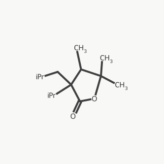 CC(C)CC1(C(C)C)C(=O)OC(C)(C)C1C